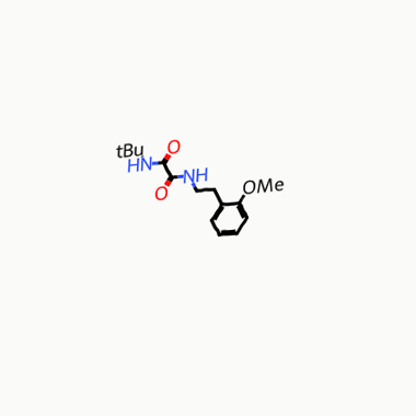 COc1ccccc1CCNC(=O)C(=O)NC(C)(C)C